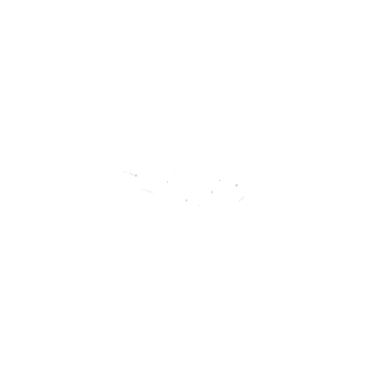 C[C@]12CCC(=O)C=C1CC[C@H]1[C@@H]3CC[C@](O)(C(=O)CO)[C@@]3(C)CC(Cl)[C@@]12Cl